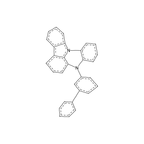 c1ccc(-c2cccc(N3c4ccccc4-n4c5ccccc5c5cccc3c54)c2)cc1